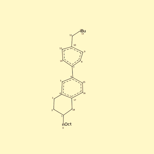 CCCCCCCCC1CCc2cc(-c3ccc(CC(C)CC)cc3)ccc2C1